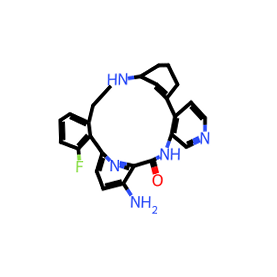 Nc1ccc2nc1C(=O)Nc1cnccc1C1=CC(CCC1)NCCc1cccc(F)c1-2